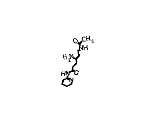 CC(=O)NCCC(N)CCC(=O)NC1=NCCCC1